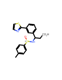 Cc1ccc([S@@+]([O-])NC(CC(=O)O)c2cccc(-c3nccs3)c2)cc1